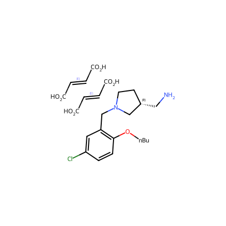 CCCCOc1ccc(Cl)cc1CN1CC[C@H](CN)C1.O=C(O)/C=C/C(=O)O.O=C(O)/C=C/C(=O)O